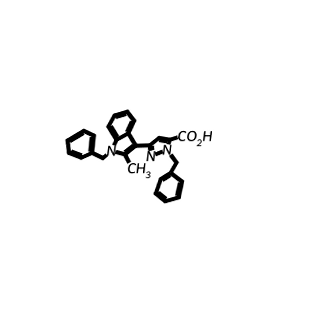 Cc1c(-c2cc(C(=O)O)n(Cc3ccccc3)n2)c2ccccc2n1Cc1ccccc1